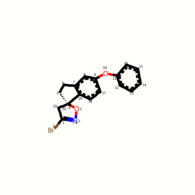 BrC1=NO[C@@]2(CCc3cc(Oc4ccccc4)ccc32)C1